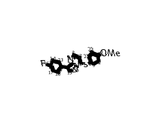 COc1ccc(Sc2ccnc3c(-c4ccc(F)cc4)cnn23)cc1